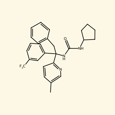 Cc1ccc(C(Cc2ccccc2)(NC(=O)NC2CCCC2)c2cccc(C(F)(F)F)c2)nc1